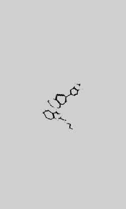 Cc1nc2ccc(-c3ccc4c(c3)CN(c3nc(CNCCF)nc5c3CC(C)(C)CC5)CCO4)cc2[nH]1